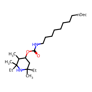 CCCCCCCCCCCCCCCCCCNC(=O)OC1CC(C)(CC)NC(C)(CC)C1C